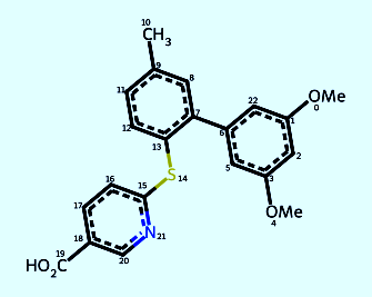 COc1cc(OC)cc(-c2cc(C)ccc2Sc2ccc(C(=O)O)cn2)c1